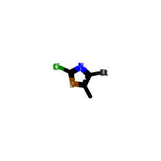 CCc1nc(Cl)sc1C